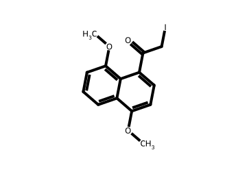 COc1ccc(C(=O)CI)c2c(OC)cccc12